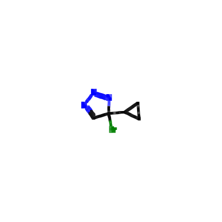 BrC1(C2CC2)C=NN=N1